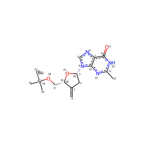 C=C1C[C@@H](n2cnc3c(=O)[nH]c(C)nc32)O[C@H]1CO[Si](C)(C)C(C)(C)C